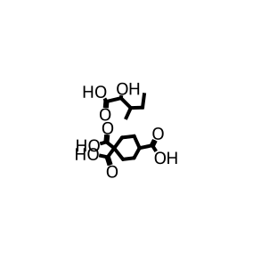 CCC(C)C(O)C(=O)O.O=C(O)C1CCC(C(=O)O)(C(=O)O)CC1